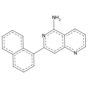 Nc1nc(-c2cccc3ccccc23)cc2ncccc12